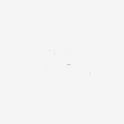 CC(C)C(CC(C)(C)C)C(=O)OC1CC2CC(C(=O)OCOC3CCCCC3)C1C2